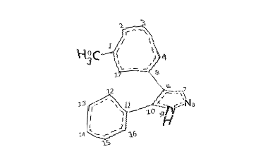 Cc1cccc(-c2cn[nH]c2-c2ccccc2)c1